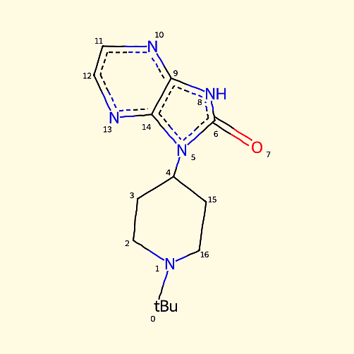 CC(C)(C)N1CCC(n2c(=O)[nH]c3nccnc32)CC1